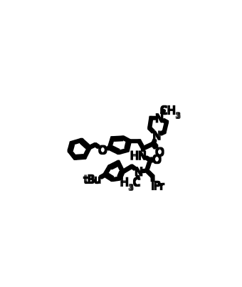 CC(C)CC(C(=O)NC(Cc1ccc(OCc2ccccc2)cc1)C(=O)N1CCN(C)CC1)N(C)Cc1ccc(C(C)(C)C)cc1